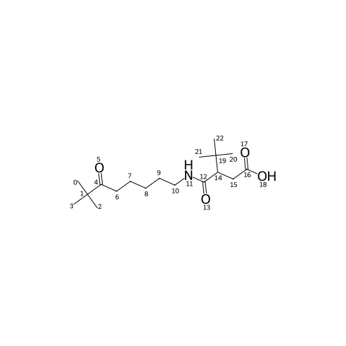 CC(C)(C)C(=O)CCCCCNC(=O)C(CC(=O)O)C(C)(C)C